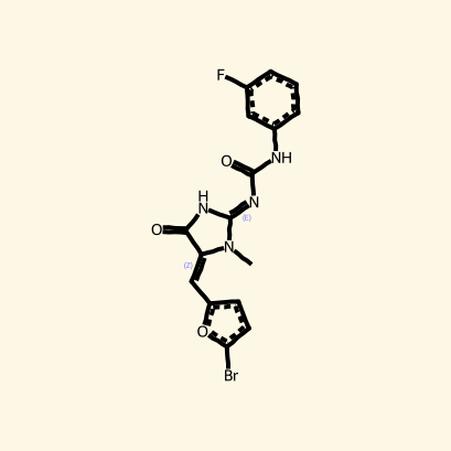 CN1/C(=C\c2ccc(Br)o2)C(=O)N/C1=N\C(=O)Nc1cccc(F)c1